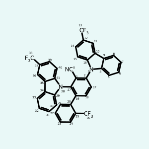 N#Cc1c(-n2c3ccccc3c3cc(C(F)(F)F)ccc32)ccc(-c2ccccc2C(F)(F)F)c1-n1c2ccccc2c2cc(C(F)(F)F)ccc21